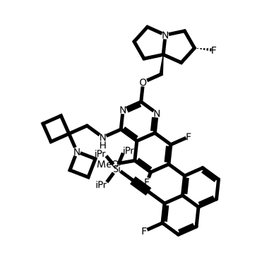 COc1c(F)c(-c2cccc3ccc(F)c(C#C[Si](C(C)C)(C(C)C)C(C)C)c23)c(F)c2nc(OC[C@@]34CCCN3C[C@H](F)C4)nc(NCC3(N4CCC4)CCC3)c12